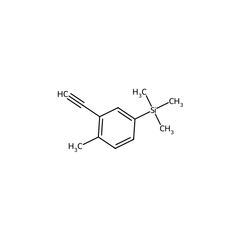 C#Cc1cc([Si](C)(C)C)ccc1C